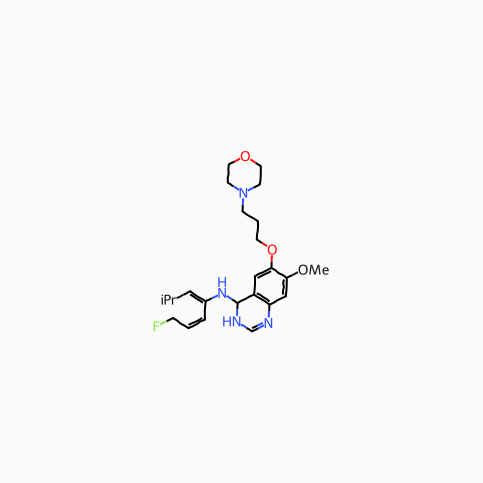 COc1cc2c(cc1OCCCN1CCOCC1)C(NC(/C=C\CF)=C/C(C)C)NC=N2